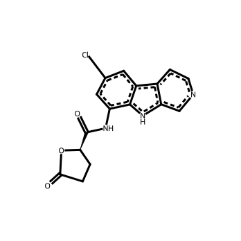 O=C1CC[C@H](C(=O)Nc2cc(Cl)cc3c2[nH]c2cnccc23)O1